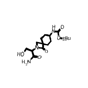 CC(C)(C)OC(=O)NC1CCC2(CC1)CN(C(CO)C(N)=O)C2=O